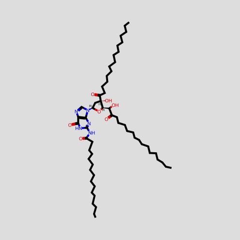 CCCCCCCCCCCCCCCC(=O)Nc1nc2c(ncn2[C@H]2C[C@@](O)(C(=O)CCCCCCCCCCCCCCC)[C@@H](C(O)C(=O)CCCCCCCCCCCCCCC)O2)c(=O)[nH]1